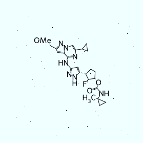 COCc1cc2c(Nc3cc([C@@H]4CC[C@H](OC(=O)NC5(C)CC5)[C@H]4F)[nH]n3)nc(C3CC3)cn2n1